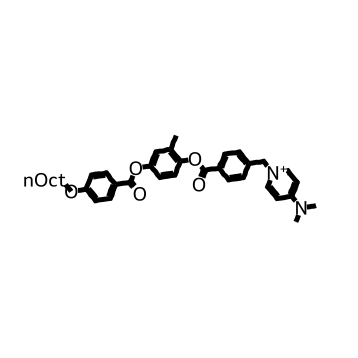 CCCCCCCCOc1ccc(C(=O)Oc2ccc(OC(=O)c3ccc(C[n+]4ccc(N(C)C)cc4)cc3)c(C)c2)cc1